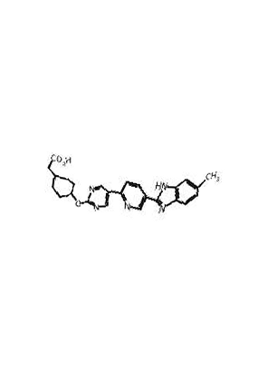 Cc1ccc2nc(-c3ccc(-c4cnc(OC5CCC(CC(=O)O)CC5)nc4)nc3)[nH]c2c1